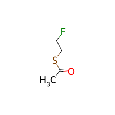 CC(=O)SCCF